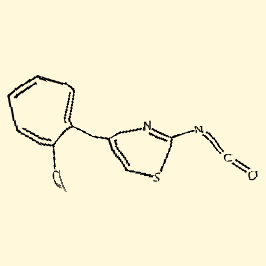 O=C=Nc1nc(-c2ccccc2Cl)cs1